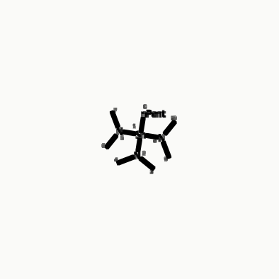 CCCC[CH2][Sn]([N](C)C)([N](C)C)[N](C)C